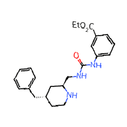 CCOC(=O)c1cccc(NC(=O)NC[C@@H]2C[C@@H](Cc3ccccc3)CCN2)c1